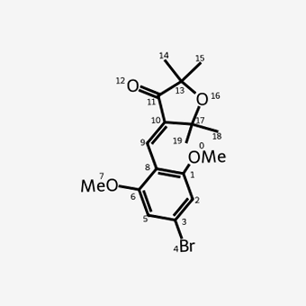 COc1cc(Br)cc(OC)c1C=C1C(=O)C(C)(C)OC1(C)C